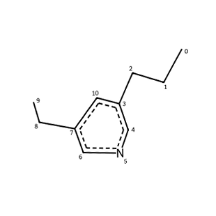 CCCc1cncc(CC)c1